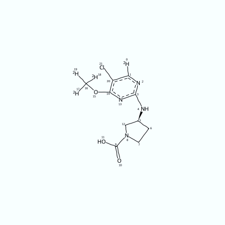 [2H]c1nc(N[C@H]2CCN(C(=O)O)C2)nc(OC([2H])([2H])[2H])c1Cl